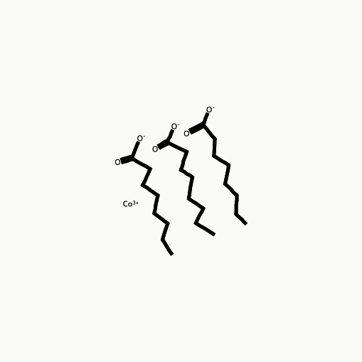 CCCCCCCC(=O)[O-].CCCCCCCC(=O)[O-].CCCCCCCC(=O)[O-].[Co+3]